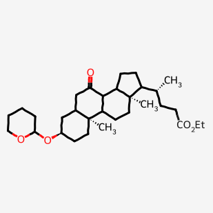 CCOC(=O)CC[C@@H](C)C1CCC2C3C(=O)CC4C[C@H](OC5CCCCO5)CC[C@]4(C)C3CC[C@@]21C